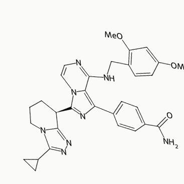 COc1ccc(CNc2nccn3c([C@@H]4CCCn5c(C6CC6)nnc54)nc(-c4ccc(C(N)=O)cc4)c23)c(OC)c1